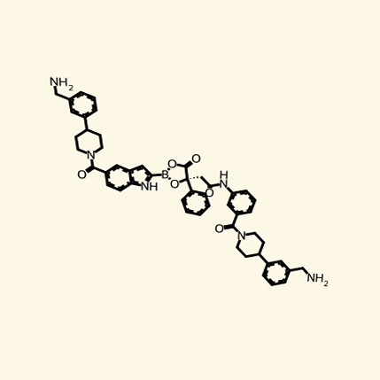 NCc1cccc(C2CCN(C(=O)c3cccc(NC(=O)C[C@]4(c5ccccc5)OB(c5cc6cc(C(=O)N7CCC(c8cccc(CN)c8)CC7)ccc6[nH]5)OC4=O)c3)CC2)c1